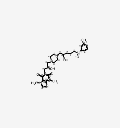 Cc1cccc([S+]([O-])CCCC(O)CN2CCN(CC(O)Cn3c(=O)c4c(ncn4C)n(C)c3=O)CC2)c1